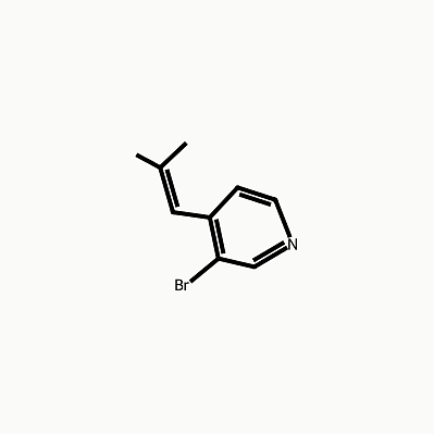 CC(C)=Cc1ccncc1Br